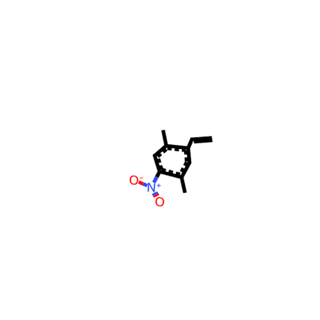 C=Cc1cc(C)c([N+](=O)[O-])cc1C